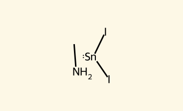 CN.[I][Sn][I]